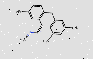 C=N/C=C\c1cc(CCC)ccc1Cc1cc(C)cc(C)c1